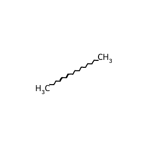 CCCCC=CC=CCCCCCCCCCC